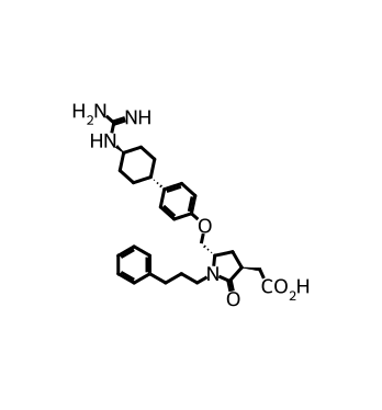 N=C(N)N[C@H]1CC[C@H](c2ccc(OC[C@@H]3C[C@@H](CC(=O)O)C(=O)N3CCCc3ccccc3)cc2)CC1